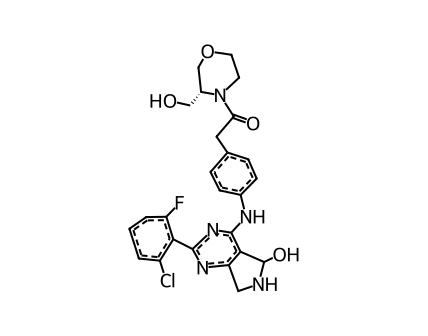 O=C(Cc1ccc(Nc2nc(-c3c(F)cccc3Cl)nc3c2C(O)NC3)cc1)N1CCOC[C@H]1CO